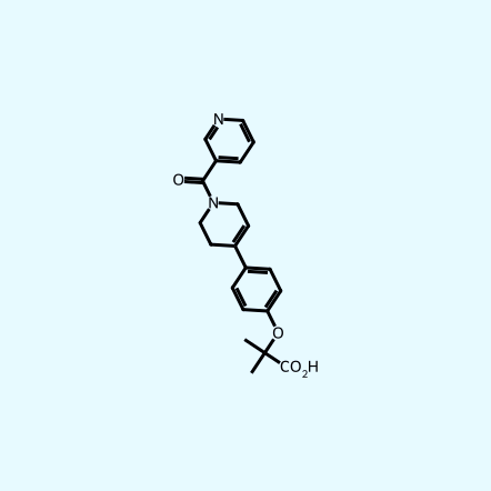 CC(C)(Oc1ccc(C2=CCN(C(=O)c3cccnc3)CC2)cc1)C(=O)O